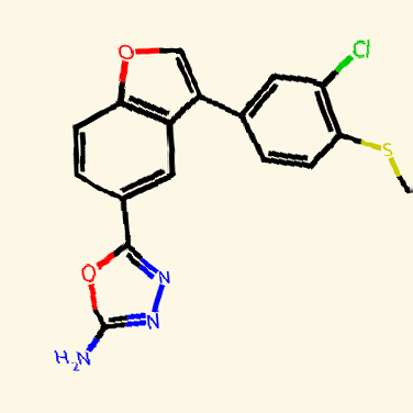 CSc1ccc(-c2coc3ccc(-c4nnc(N)o4)cc23)cc1Cl